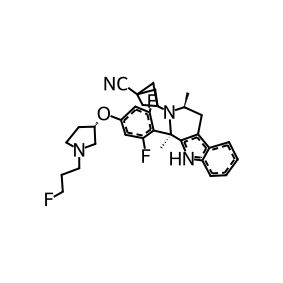 C[C@H]1Cc2c([nH]c3ccccc23)[C@@](C)(c2c(F)cc(O[C@H]3CCN(CCCF)C3)cc2F)N1C12CC(C#N)(C1)C2